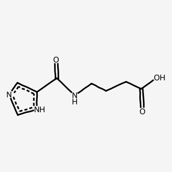 O=C(O)CCCNC(=O)c1cnc[nH]1